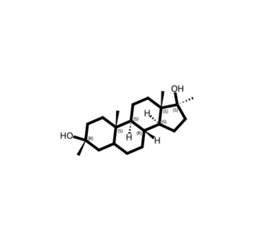 C[C@@]1(O)CC[C@@]2(C)C(CC[C@@H]3[C@@H]2CC[C@@]2(C)[C@H]3CC[C@]2(C)O)C1